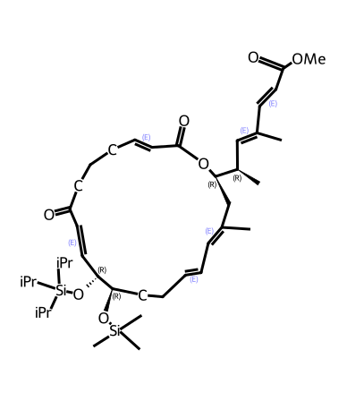 COC(=O)/C=C/C(C)=C/[C@@H](C)[C@H]1C/C(C)=C/C=C/CC[C@@H](O[Si](C)(C)C)[C@H](O[Si](C(C)C)(C(C)C)C(C)C)/C=C/C(=O)CCC/C=C/C(=O)O1